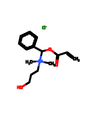 C=CC(=O)OC(c1ccccc1)[N+](C)(C)CCCO.[Cl-]